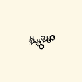 CN(CCOc1ccccc1)c1nc(-c2cncnc2)nc2ccccc12